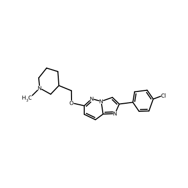 CN1CCCC(COc2ccc3nc(-c4ccc(Cl)cc4)cn3n2)C1